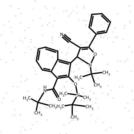 CC(C)(C)NC(=O)c1c2cccccc-2c(C2C(C#N)=C(c3ccccc3)ON2C(C)(C)C)c1O[Si](C)(C)C(C)(C)C